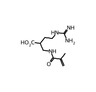 C=C(C)C(=O)NCC(CCNC(=N)N)C(=O)O